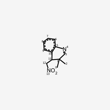 CC1(C)C=Nc2ccccc2C1C[N+](=O)[O-]